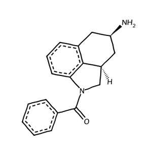 N[C@@H]1Cc2cccc3c2[C@@H](C1)CN3C(=O)c1ccccc1